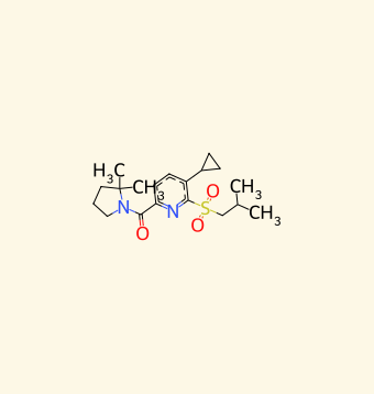 CC(C)CS(=O)(=O)c1nc(C(=O)N2CCCC2(C)C)ccc1C1CC1